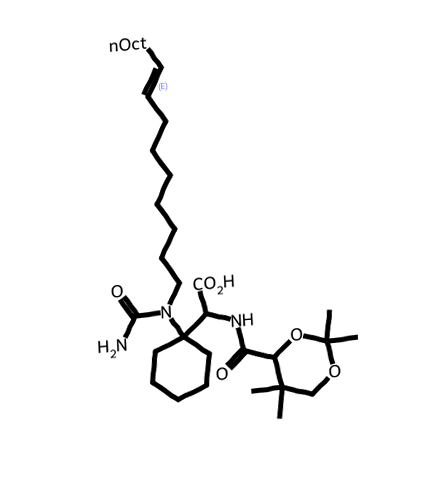 CCCCCCCC/C=C/CCCCCCCN(C(N)=O)C1(C(NC(=O)C2OC(C)(C)OCC2(C)C)C(=O)O)CCCCC1